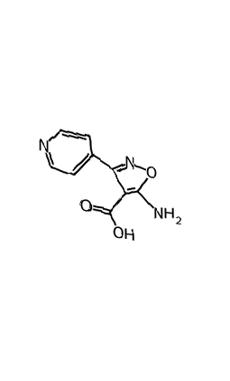 Nc1onc(-c2ccncc2)c1C(=O)O